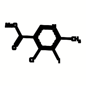 COC(=O)c1cnc(C)c(I)c1Cl